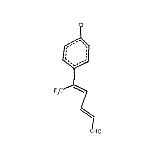 O=CC=CC=C(c1ccc(Cl)cc1)C(F)(F)F